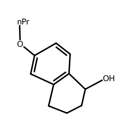 CCCOc1ccc2c(c1)CCCC2O